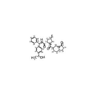 CC(O)c1ccc(C(NC(=O)[C@@H]2C[C@@H](F)CN2C(=O)C2CCC3CCC(=O)N3C2)c2ccccc2)cc1